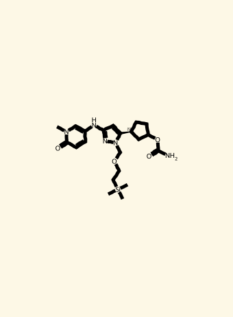 Cn1cc(Nc2cc([C@H]3CCC(OC(N)=O)C3)n(COCC[Si](C)(C)C)n2)ccc1=O